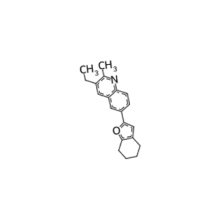 CCc1cc2cc(-c3cc4c(o3)CCCC4)ccc2nc1C